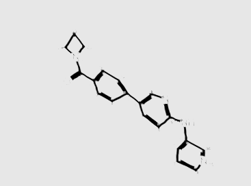 O=C(c1ccc(-c2ccc(Nc3cccnc3)nc2)cc1)N1CCC1